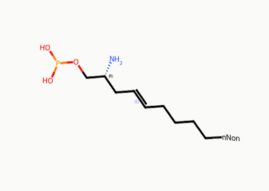 CCCCCCCCCCCCC/C=C/C[C@@H](N)COP(O)O